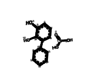 O=S(O)O.Oc1cccc(-c2ccccc2)c1O